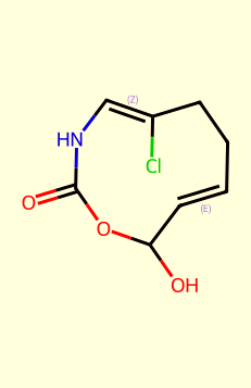 O=C1N/C=C(\Cl)CC/C=C/C(O)O1